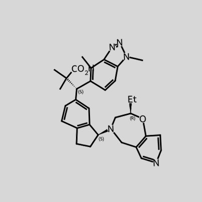 CC[C@@H]1CN([C@H]2CCc3ccc([C@@H](c4ccc5c(nnn5C)c4C)C(C)(C)C(=O)O)cc32)Cc2cnccc2O1